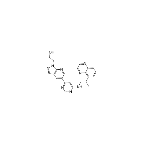 CC(CNc1cc(-c2cnc3c(cnn3CCO)c2)ncn1)c1cccc2nccnc12